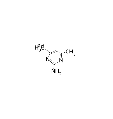 Cc1cc(C)nc(N)n1.[Pd]